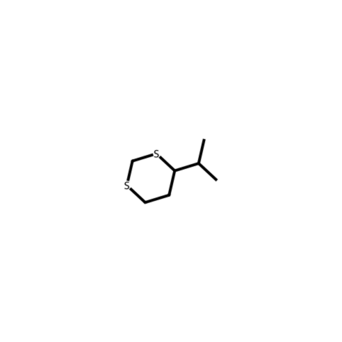 CC(C)C1CCSCS1